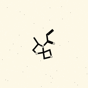 C=CC(=O)N1C(C)COC12COC2